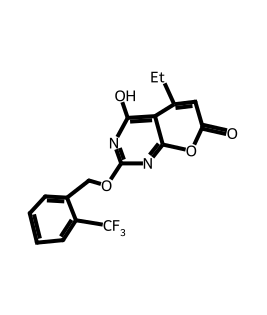 CCc1cc(=O)oc2nc(OCc3ccccc3C(F)(F)F)nc(O)c12